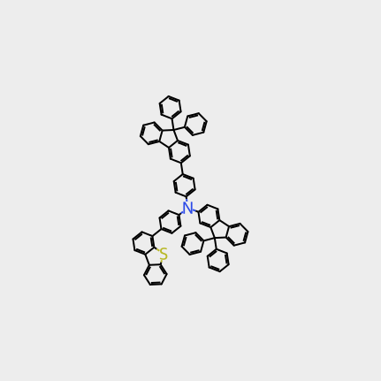 c1ccc(C2(c3ccccc3)c3ccccc3-c3cc(-c4ccc(N(c5ccc(-c6cccc7c6sc6ccccc67)cc5)c5ccc6c(c5)C(c5ccccc5)(c5ccccc5)c5ccccc5-6)cc4)ccc32)cc1